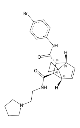 O=C(NCCN1CCCC1)[C@H]1[C@H](C(=O)Nc2ccc(Br)cc2)[C@@H]2C=C[C@H]1C21CC1